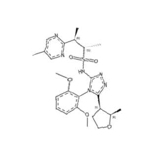 COc1cccc(OC)c1-n1c(NS(=O)(=O)[C@@H](C)[C@H](C)c2ncc(C)cn2)nnc1[C@@H]1CCO[C@@H]1C